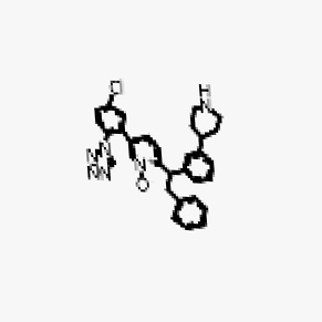 [O-][n+]1cc(-c2cc(Cl)ccc2-n2cnnn2)ccc1C(Cc1ccccc1)c1cccc(C2CCNCC2)c1